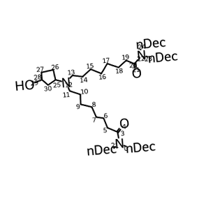 CCCCCCCCCCN(CCCCCCCCCC)C(=O)CCCCCCCN(CCCCCCCC(=O)N(CCCCCCCCCC)CCCCCCCCCC)C1CCC(O)C1